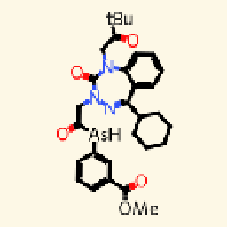 COC(=O)c1cccc([AsH]C(=O)CN2N=C(C3CCCCC3)c3ccccc3N(CC(=O)C(C)(C)C)C2=O)c1